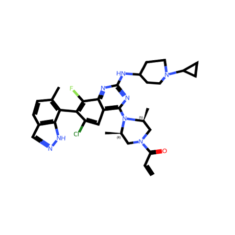 C=CC(=O)N1C[C@@H](C)N(c2nc(NC3CCN(C4CC4)CC3)nc3c(F)c(-c4c(C)ccc5cn[nH]c45)c(Cl)cc23)[C@@H](C)C1